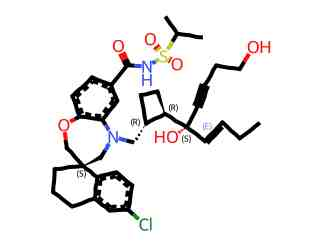 CC/C=C/[C@](O)(C#CCCO)[C@@H]1CC[C@H]1CN1C[C@@]2(CCCc3cc(Cl)ccc32)COc2ccc(C(=O)NS(=O)(=O)C(C)C)cc21